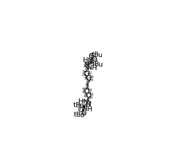 CC(C)(C)OC(=O)N[C@H](c1ncc(-c2ccc3cc(C#Cc4ccc5cc(-c6cnc([C@@H](NC(=O)OC(C)(C)C)C(C)(C)C)[nH]6)ccc5c4)ccc3c2)[nH]1)C(C)(C)C